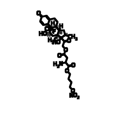 C[C@@H]1C[C@H]2[C@@H]3CCC4=CC(=O)C=C[C@]4(C)[C@@]3(F)[C@@H](O)C[C@]2(C)[C@@]1(O)C(=O)COC(=O)CC(N)C(=O)OCCCCO[N+](=O)[O-]